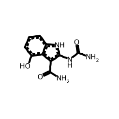 NC(=O)Nc1[nH]c2cccc(O)c2c1C(N)=O